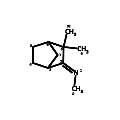 CN=C1C2CCC(C2)C1(C)C